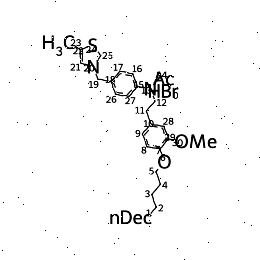 Br.CCCCCCCCCCCCCCOc1ccc(CCN(C(C)=O)c2ccc(CN3C=C(C)SC3)cc2)cc1OC